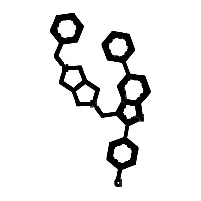 Clc1ccc(-c2nc3ccc(-c4ccccc4)cn3c2CN2CC3CN(Cc4ccccc4)CC3C2)cc1